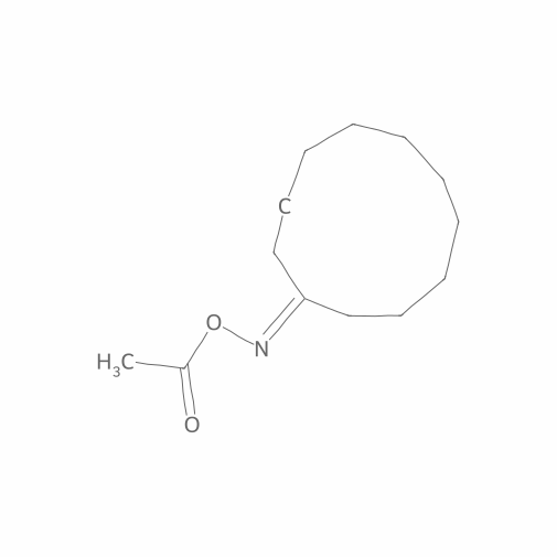 CC(=O)ON=C1CCCCCCCCCC1